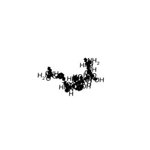 CCCC(=O)N[C@@H](CSCc1cccc(CSCCC(=O)NC(C(=O)N[C@@H](Cc2ccc(O)cc2)C(=O)N[C@@H](Cc2cnc[nH]2)C(=O)N[C@H](C(=O)NCC(=O)N[C@@H](CCO)C(=O)NCC(=O)NCC(=O)N[C@@H](CCC)C(N)=O)[C@@H](C)O)C(C)(C)C)c1)C(N)=O